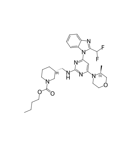 CCCCOC(=O)N1CCC[C@H](CNc2nc(N3CCOC[C@@H]3C)cc(-n3c(C(F)F)nc4ccccc43)n2)C1